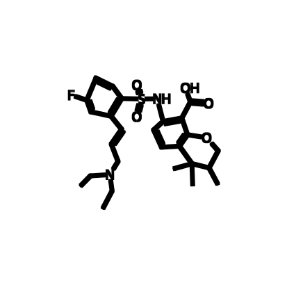 CCN(CC)C/C=C/c1cc(F)ccc1S(=O)(=O)Nc1ccc2c(c1C(=O)O)OCC(C)C2(C)C